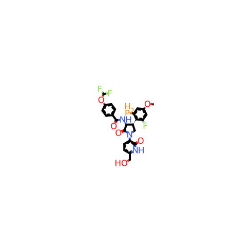 COc1cc(F)c([C@@H]2CN(c3ccc(CO)[nH]c3=O)C(=O)[C@H]2NC(=O)c2ccc(OC(F)F)cc2)c(P)c1